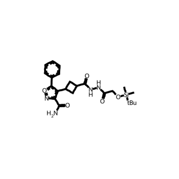 CC(C)(C)[Si](C)(C)OCC(=O)NNC(=O)C1CC(c2c(C(N)=O)noc2-c2ccccc2)C1